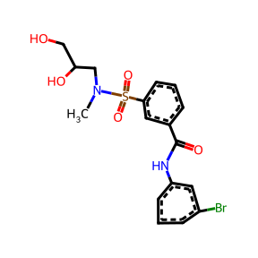 CN(CC(O)CO)S(=O)(=O)c1cccc(C(=O)Nc2cccc(Br)c2)c1